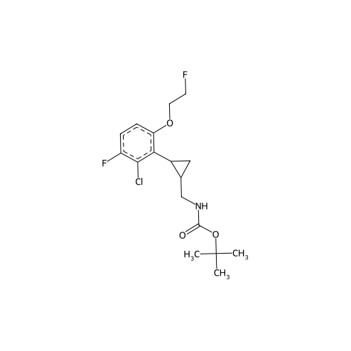 CC(C)(C)OC(=O)NCC1CC1c1c(OCCF)ccc(F)c1Cl